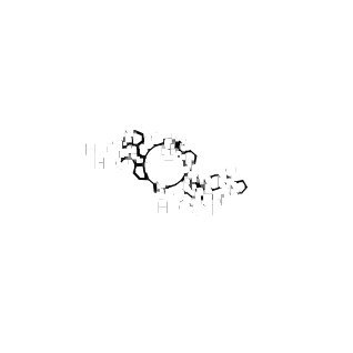 CCn1c(-c2cccnc2[C@H](C)OC)c2c3cc(ccc31)-c1csc(n1)C[C@H](NC(=O)[C@H](C(C)C)N(C)C(=O)N1CCN(C(=O)[C@@H]3CCCN3C)CC1)C(=O)N1CCC[C@@](O)(N1)C(=O)OCC(C)(C)C2